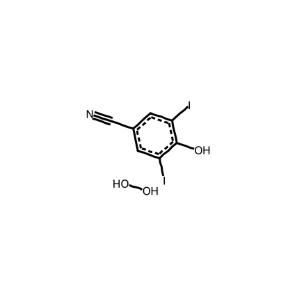 N#Cc1cc(I)c(O)c(I)c1.OO